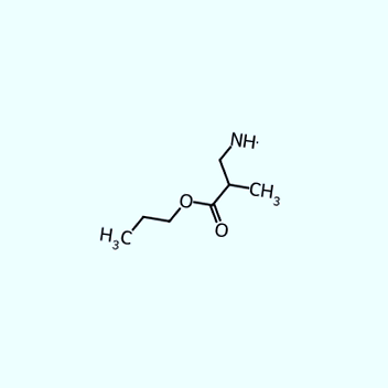 CCCOC(=O)C(C)C[NH]